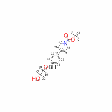 CC(C)(C)OC(=O)N1CC=C(c2ccc(BOC(C)(C)C(C)(C)O)cc2)CC1